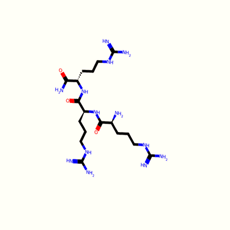 N=C(N)NCCC[C@H](NC(=O)[C@H](CCCNC(=N)N)NC(=O)[C@@H](N)CCCNC(=N)N)C(N)=O